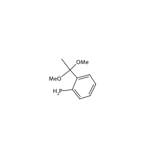 COC(C)(OC)c1ccccc1P